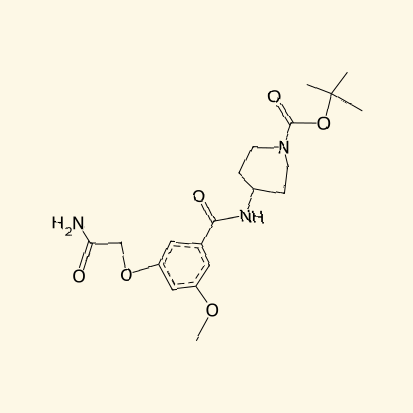 COc1cc(OCC(N)=O)cc(C(=O)NC2CCN(C(=O)OC(C)(C)C)CC2)c1